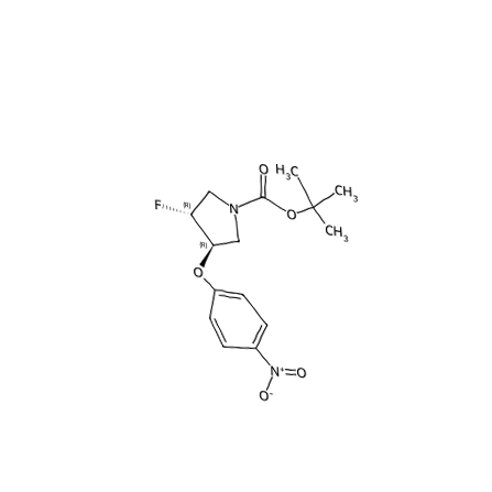 CC(C)(C)OC(=O)N1C[C@@H](F)[C@H](Oc2ccc([N+](=O)[O-])cc2)C1